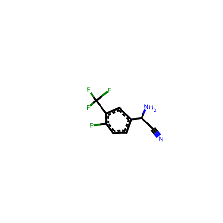 N#CC(N)c1ccc(F)c(C(F)(F)F)c1